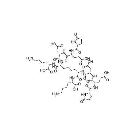 NCCCC[C@H](NC(=O)[C@H](CCCC[C@H](NC(=O)[C@H](CC(=O)O)NC(=O)[C@H](CCC(=O)O)NC(=O)[C@@H]1CCC(=O)N1)C(=O)N[C@@H](CCCCN)C(=O)O)NC(=O)[C@H](CC(=O)O)NC(=O)[C@H](CCC(=O)O)NC(=O)[C@@H]1CCC(=O)N1)C(=O)O